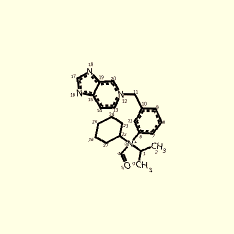 CC(C)[N+](C=O)(c1cccc(Cn2ccc3ncnc-3c2)c1)C1CCCCC1